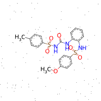 COc1ccc(S(=O)(=O)Nc2ccccc2NC(=O)NS(=O)(=O)c2ccc(C)cc2)cc1